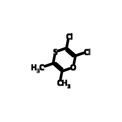 CC1=C(C)SC(Cl)=C(Cl)O1